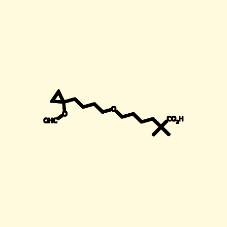 CC(C)(CCCCOCCCCC1(OC=O)CC1)C(=O)O